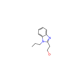 CCCn1c(CC[O])nc2ccccc21